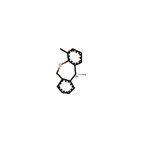 Cc1cccc2c1SCc1ccccc1[C@H]2C